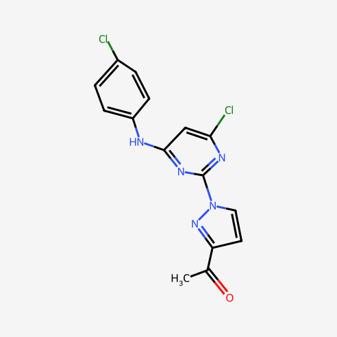 CC(=O)c1ccn(-c2nc(Cl)cc(Nc3ccc(Cl)cc3)n2)n1